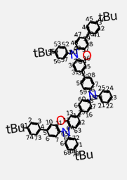 CC(C)(C)c1ccc(-c2ccc3c(c2)Oc2cc(-c4ccc(N(c5ccccc5)c5ccc(-c6ccc7c(c6)Oc6cc(-c8ccc(C(C)(C)C)cc8)ccc6N7c6ccc(C(C)(C)C)cc6)cc5)cc4)ccc2N3c2ccc(C(C)(C)C)cc2)cc1